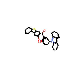 O=c1c2cc(-n3c4ccccc4c4ccccc43)ccc2oc2cc3c(cc12)sc1ccccc13